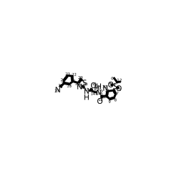 CC(C)S(=O)(=O)c1cccc(C(=O)NCC(=O)Nc2nc(-c3cccc(C#N)c3)cs2)c1N